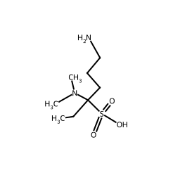 CCC(CCCN)(N(C)C)S(=O)(=O)O